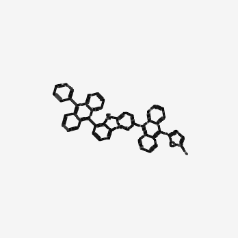 Cc1ccc(-c2c3ccccc3c(-c3ccc4sc5c(-c6c7ccccc7c(-c7ccccc7)c7ccccc67)cccc5c4c3)c3ccccc23)o1